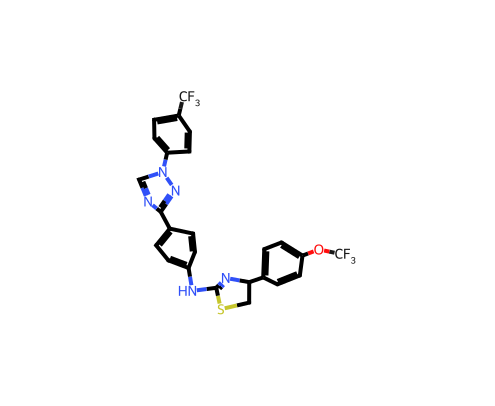 FC(F)(F)Oc1ccc(C2CSC(Nc3ccc(-c4ncn(-c5ccc(C(F)(F)F)cc5)n4)cc3)=N2)cc1